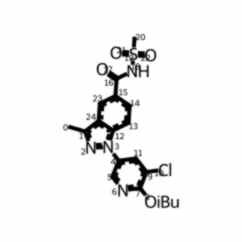 Cc1nn(-c2cnc(OCC(C)C)c(Cl)c2)c2ccc(C(=O)NS(C)(=O)=O)cc12